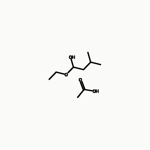 CC(=O)O.CCOC(O)CC(C)C